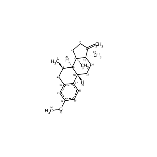 C=C1CC[C@]2(C)[C@@H]3[C@H](C)Cc4cc(OC)ccc4[C@H]3CC[C@]12C